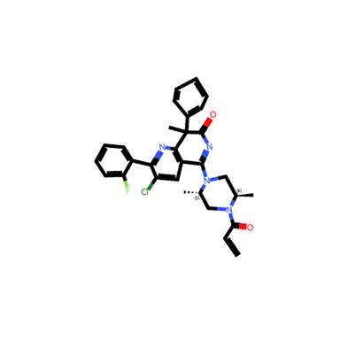 C=CC(=O)N1C[C@H](C)N(C2=NC(=O)C(C)(c3ccccc3)c3nc(-c4ccccc4F)c(Cl)cc32)C[C@H]1C